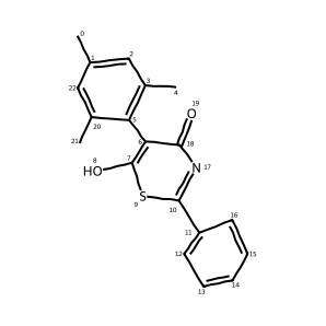 Cc1cc(C)c(-c2c(O)sc(-c3ccccc3)nc2=O)c(C)c1